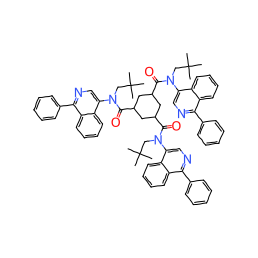 CC(C)(C)CN(C(=O)C1CC(C(=O)N(CC(C)(C)C)c2cnc(-c3ccccc3)c3ccccc23)CC(C(=O)N(CC(C)(C)C)c2cnc(-c3ccccc3)c3ccccc23)C1)c1cnc(-c2ccccc2)c2ccccc12